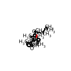 COc1cccc(OC)c1-c1cc(C(=O)NC2(C(=O)O)CCC3CC(C)CC2C3)nn1-c1ccc(C(=O)N(C)CCCN(C)CCCN(C)C)cc1C(C)C